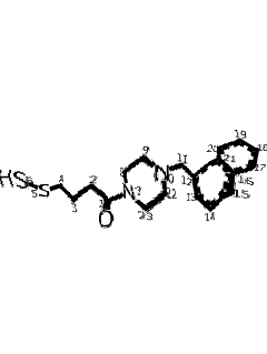 O=C(CCCSS)N1CCN(Cc2cccc3ccccc23)CC1